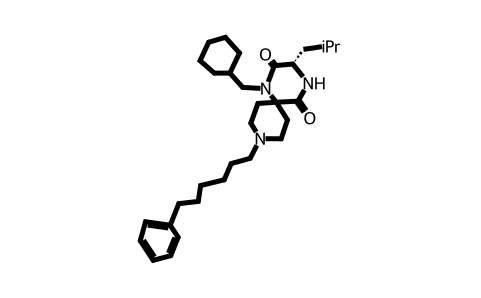 CC(C)C[C@@H]1NC(=O)C2(CCN(CCCCCCc3ccccc3)CC2)N(CC2CCCCC2)C1=O